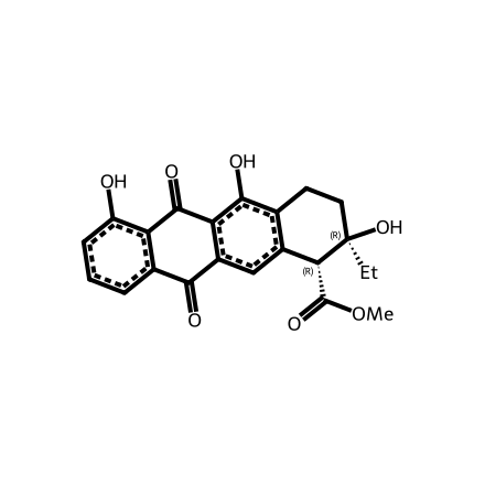 CC[C@@]1(O)CCc2c(cc3c(c2O)C(=O)c2c(O)cccc2C3=O)[C@H]1C(=O)OC